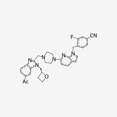 CC(=O)c1ccc2nc(CN3CCN(c4ccc5ccn(Cc6ccc(C#N)cc6F)c5n4)CC3)n(C[C@@H]3CCO3)c2c1